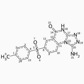 Cc1ccc(S(=O)(=O)c2ccc3c(c2)c(=O)[nH]c2nnc(N)n23)cc1